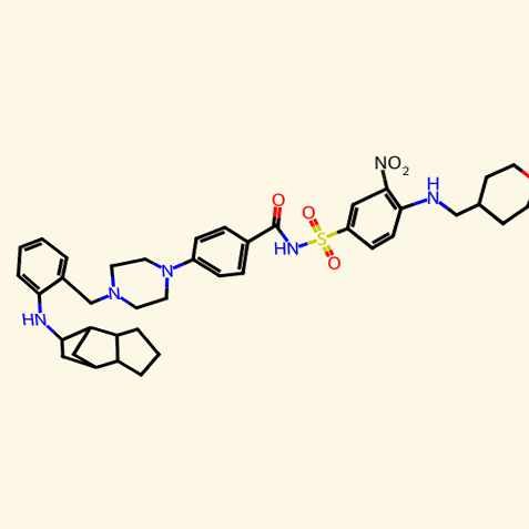 O=C(NS(=O)(=O)c1ccc(NCC2CCOCC2)c([N+](=O)[O-])c1)c1ccc(N2CCN(Cc3ccccc3NC3CC4CC3C3CCCC43)CC2)cc1